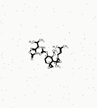 CO[C@H]1C([C@@]2(C)O[C@@H]2CC=C(C)C)[C@]2(CC[C@H]1OC(=O)N[C@H](c1noc(=O)[nH]1)C(C)C)CO2